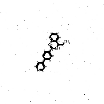 CCC(NC(=O)c1ccc(-c2ccncc2)cc1)c1ccccc1